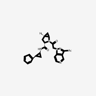 CC(=O)c1nn(CC(=O)N2C3C[C@@H]3C[C@H]2C(=O)N[C@@H]2C[C@H]2c2ccccc2)c2ccncc12